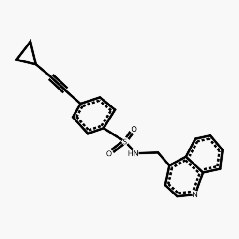 O=S(=O)(NCc1ccnc2ccccc12)c1ccc(C#CC2CC2)cc1